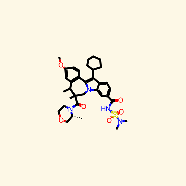 COc1ccc2c(c1)C(C)C(C)(C(=O)N1CCOC[C@H]1C)Cn1c-2c(C2CCCCC2)c2ccc(C(=O)NS(=O)(=O)N(C)C)cc21